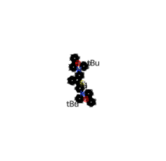 CC(C)(C)c1ccc(N(C2=CC=C3c4c(c5ccc(N(c6ccc(C(C)(C)C)cc6)c6cccc7c6oc6ccccc67)cc5c5ccccc45)S[C@H]3C2)c2cccc3c2oc2ccccc23)cc1